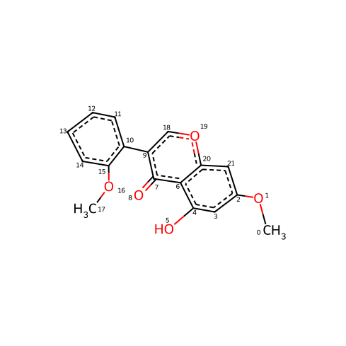 COc1cc(O)c2c(=O)c(-c3ccccc3OC)coc2c1